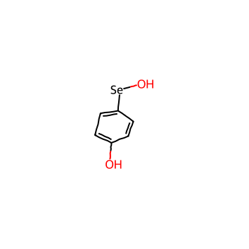 O[Se]c1ccc(O)cc1